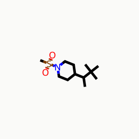 CC(C1CCN(S(C)(=O)=O)CC1)C(C)(C)C